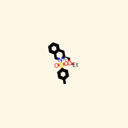 CCOC[C@@H]1Cc2ccccc2CN1S(=O)(=O)c1ccc(C)cc1